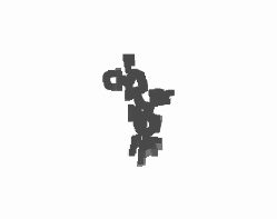 Fc1ccc(-c2nn3cc(C(F)(F)F)ccc3c2Br)cc1Cl